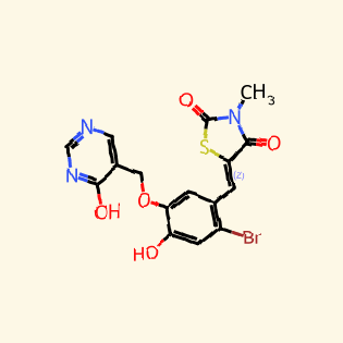 CN1C(=O)S/C(=C\c2cc(OCc3cncnc3O)c(O)cc2Br)C1=O